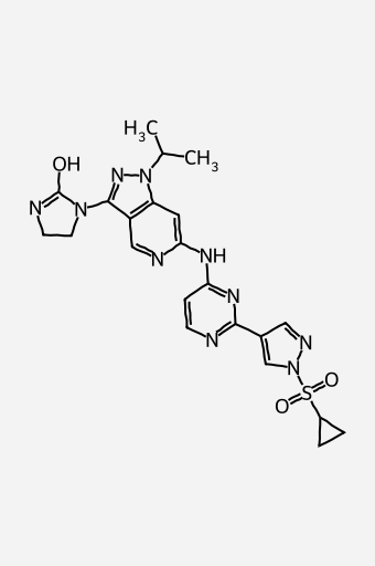 CC(C)n1nc(N2CCN=C2O)c2cnc(Nc3ccnc(-c4cnn(S(=O)(=O)C5CC5)c4)n3)cc21